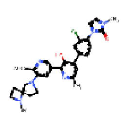 COc1ncc(-c2nc(C)cc(-c3ccc(-n4ccn(C)c4=O)c(Cl)c3)c2O)cc1N1CC[C@@]2(CCN2C(C)C)C1